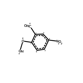 O=Cc1cc([N+](=O)[O-])ccc1OO